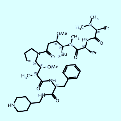 CC[C@H](C)[C@@H]([C@@H](CC(=O)N1CCC[C@H]1[C@H](OC)[C@@H](C)C(=O)N[C@@H](Cc1ccccc1)C(=O)NCC1CCNCC1)OC)N(C)C(=O)[C@@H](NC(=O)[C@H](C(C)C)N(C)C)C(C)C